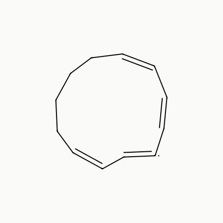 [C]1=C/C=C\CCCC/C=C\C=C/1